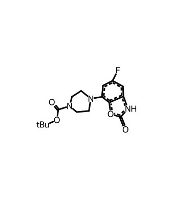 CC(C)(C)OC(=O)N1CCN(c2cc(F)cc3[nH]c(=O)oc23)CC1